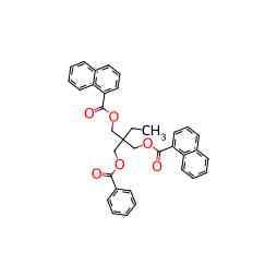 CCC(COC(=O)c1ccccc1)(COC(=O)c1cccc2ccccc12)COC(=O)c1cccc2ccccc12